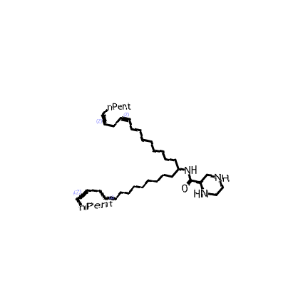 CCCCC/C=C\C/C=C\CCCCCCCCC(CCCCCCCC/C=C\C/C=C\CCCCC)NC(=O)C1CNCCN1